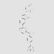 CC(NC(=O)c1cc2ccc(-c3nccc(Nc4ccc(-c5cn[nH]c5)cc4)n3)cc2n1C)C(F)(F)F